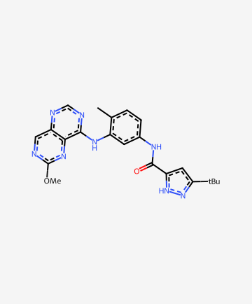 COc1ncc2ncnc(Nc3cc(NC(=O)c4cc(C(C)(C)C)n[nH]4)ccc3C)c2n1